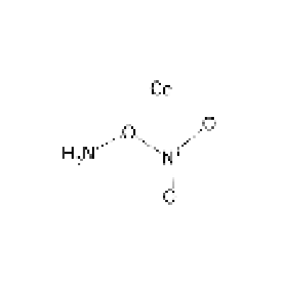 NO[N+](=O)[O-].[Ce]